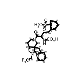 CS(=O)(=O)c1ccccc1CCC(NC(=O)O)C(=O)N1CCC2=NN(CC(F)(F)F)C(=O)C2(Cc2ccccn2)C1